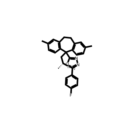 Cc1ccc2c(c1)CCc1cc(C)ccc1C2(C[C@@H](C)N)c1nnc(-c2ccc(F)cc2)o1